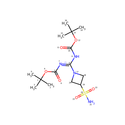 CC(C)(C)OC(=O)/N=C(/NC(=O)OC(C)(C)C)N1CC(S(N)(=O)=O)C1